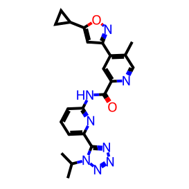 Cc1cnc(C(=O)Nc2cccc(-c3nnnn3C(C)C)n2)cc1-c1cc(C2CC2)on1